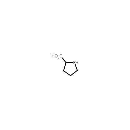 O=C(O)C1CCCP1